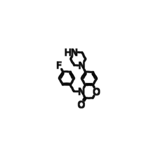 O=C1COc2ccc(N3CCNCC3)cc2N1Cc1ccc(F)cc1